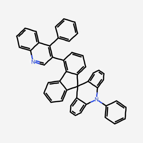 c1ccc(-c2c(-c3cccc4c3-c3ccccc3C43c4ccccc4N(c4ccccc4)c4ccccc43)cnc3ccccc23)cc1